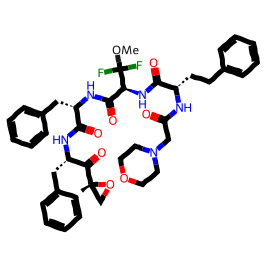 COC(F)(F)[C@@H](NC(=O)[C@H](CCc1ccccc1)NC(=O)CN1CCOCC1)C(=O)N[C@@H](Cc1ccccc1)C(=O)N[C@@H](Cc1ccccc1)C(=O)[C@@]1(C)CO1